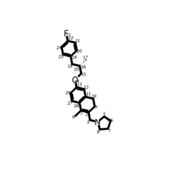 CC1=C(CN2C[CH]CC2)CCc2cc(OC[C@@H](C)Cc3ccc(F)cc3)ccc21